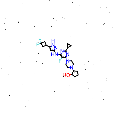 OC1CCCC1N1CCN(c2nc(C3CC3)nc(Nc3cc(C4CC(F)(F)C4)[nH]n3)c2F)CC1